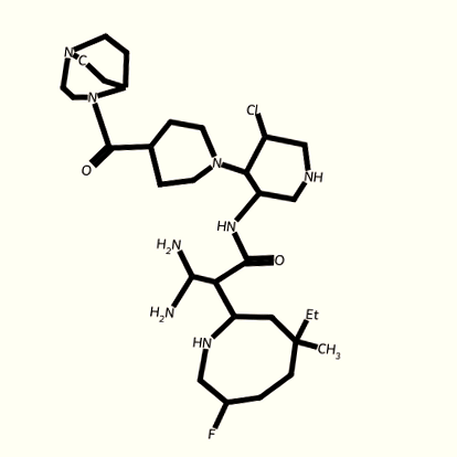 CCC1(C)CCC(F)CNC(C(C(=O)NC2CNCC(Cl)C2N2CCC(C(=O)N3CCN4CCC3CC4)CC2)C(N)N)C1